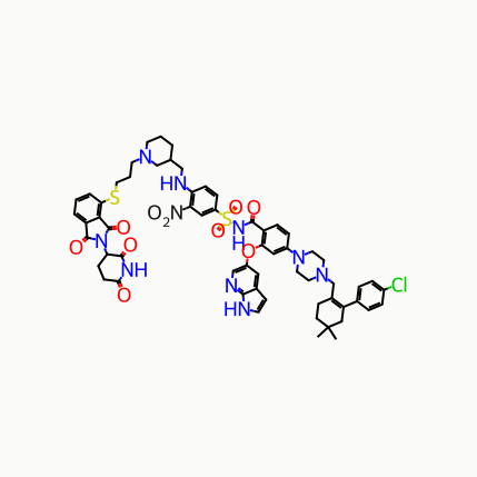 CC1(C)CCC(CN2CCN(c3ccc(C(=O)NS(=O)(=O)c4ccc(NCC5CCCN(CCCSc6cccc7c6C(=O)N(C6CCC(=O)NC6=O)C7=O)C5)c([N+](=O)[O-])c4)c(Oc4cnc5[nH]ccc5c4)c3)CC2)=C(c2ccc(Cl)cc2)C1